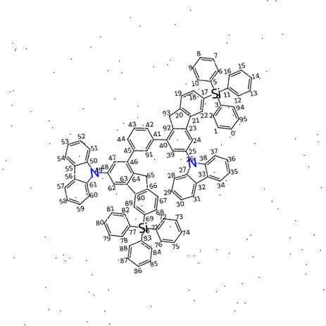 c1ccc([Si](c2ccccc2)(c2ccccc2)c2ccc3c(c2)-c2cc(-n4c5ccccc5c5ccccc54)cc(-c4cccc(-c5cc(-n6c7ccccc7c7ccccc76)cc6c5Cc5ccc([Si](c7ccccc7)(c7ccccc7)c7ccccc7)cc5-6)c4)c2C3)cc1